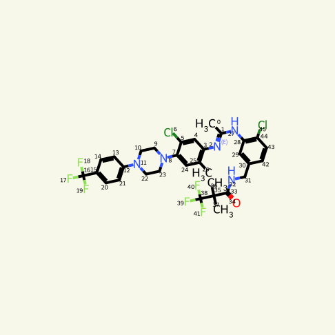 C/C(=N\c1cc(Cl)c(N2CCN(c3ccc(C(F)(F)F)cc3)CC2)cc1C)Nc1cc(CNC(=O)C(C)(C)C(F)(F)F)ccc1Cl